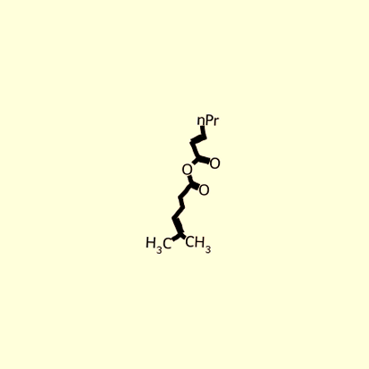 CCC/C=C/C(=O)OC(=O)CCC=C(C)C